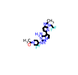 CC(=O)N1CC[C@@H](Nc2nc(N)c3c(-c4ccc5nc(C)n(CC(F)F)c5n4)ccn3n2)C(F)(F)C1